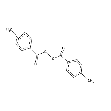 Cc1ccc(C(=O)SSC(=O)c2ccc(C)cc2)cc1